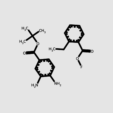 CC(C)(C)OC(=O)c1ccc(N)c(N)c1.CCc1ccccc1C(=O)OF